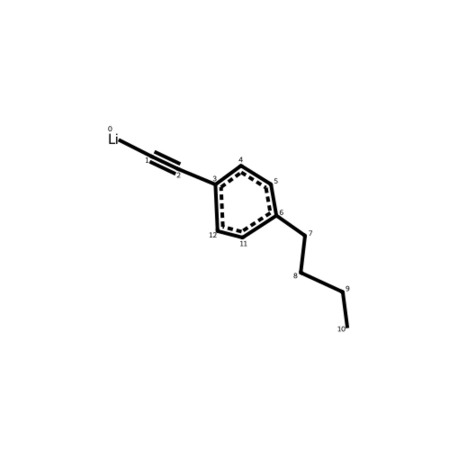 [Li][C]#Cc1ccc(CCCC)cc1